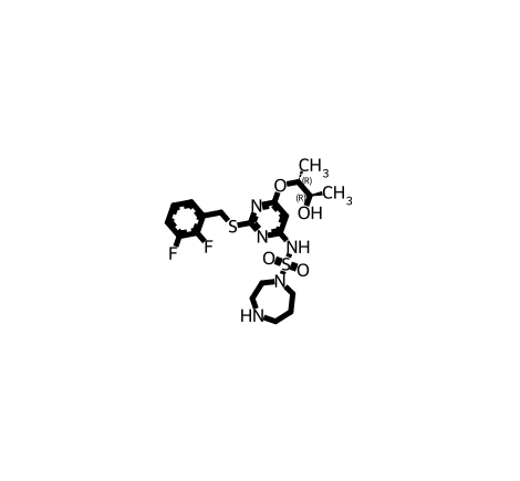 C[C@@H](O)[C@@H](C)Oc1cc(NS(=O)(=O)N2CCCNCC2)nc(SCc2cccc(F)c2F)n1